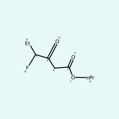 CCCOC(=O)CC(=O)C(F)CC